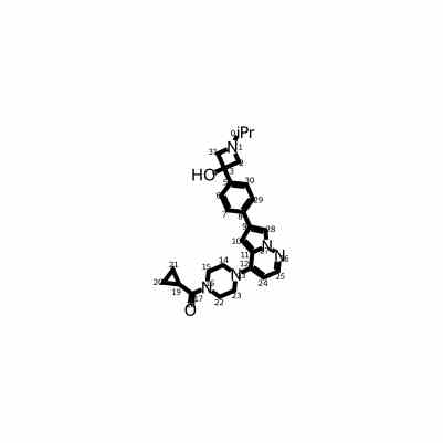 CC(C)N1CC(O)(c2ccc(-c3cc4c(N5CCN(C(=O)C6CC6)CC5)ccnn4c3)cc2)C1